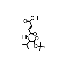 CC(C)C(NC(=O)/C=C/C(=O)O)C(=O)OC(C)(C)C